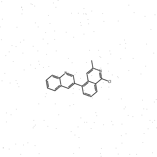 Cc1cc2c(-c3cnc4ccccc4c3)cccc2c(Cl)n1